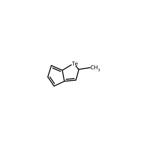 C[C]1C=C2C=CC=C2[Te]1